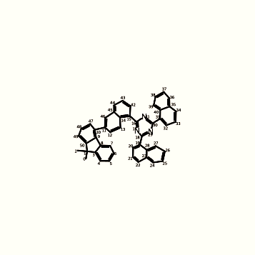 CC1(C)c2ccccc2-c2c(-c3ccc4c(-c5nc(-c6cccc7ccccc67)nc(-c6cccc7ccccc67)n5)cccc4c3)cccc21